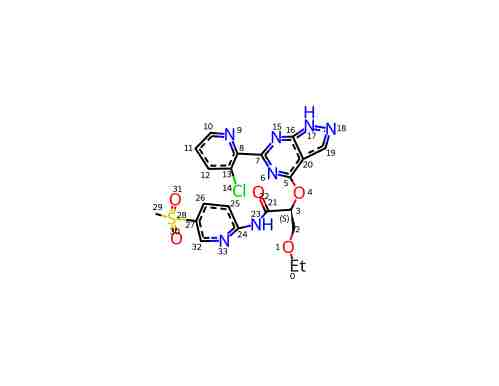 CCOC[C@H](Oc1nc(-c2ncccc2Cl)nc2[nH]ncc12)C(=O)Nc1ccc(S(C)(=O)=O)cn1